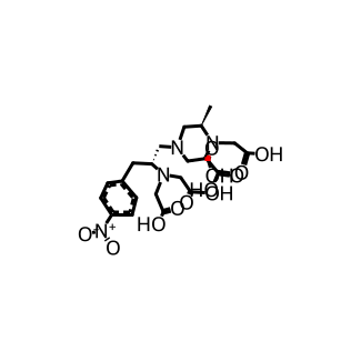 C[C@H](CN(CC(=O)O)C[C@@H](Cc1ccc([N+](=O)[O-])cc1)N(CC(=O)O)CC(=O)O)N(CC(=O)O)CC(=O)O